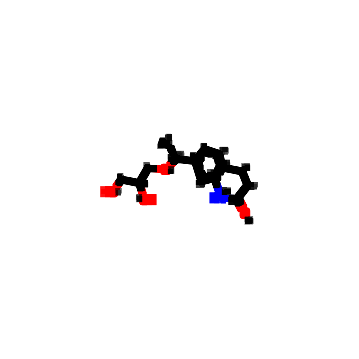 CC(=O)[C@H](OCC(O)CO)c1ccc2c(c1)NC(=O)CC2